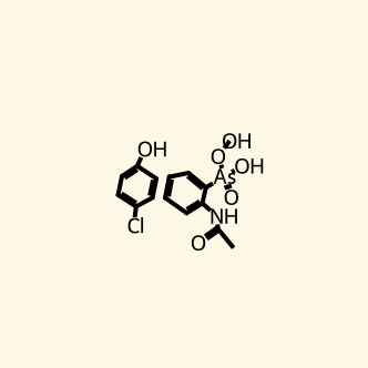 CC(=O)Nc1ccccc1[As](=O)(O)OO.Oc1ccc(Cl)cc1